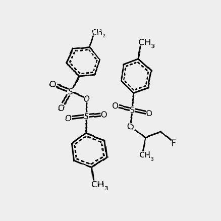 Cc1ccc(S(=O)(=O)OC(C)CF)cc1.Cc1ccc(S(=O)(=O)OS(=O)(=O)c2ccc(C)cc2)cc1